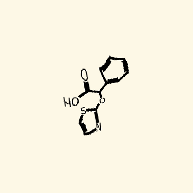 O=C(O)C(Oc1nccs1)c1ccccc1